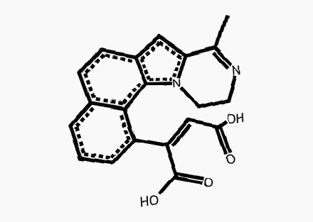 CC1=NCCn2c1cc1ccc3cccc(C(=CC(=O)O)C(=O)O)c3c12